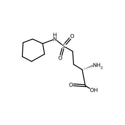 N[C@@H](CCS(=O)(=O)NC1CCCCC1)C(=O)O